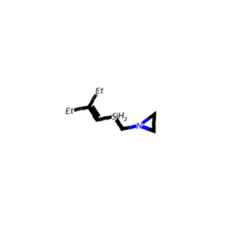 CCC(=C[SiH2]CN1CC1)CC